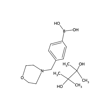 CC(C)(O)C(C)(C)O.OB(O)c1ccc(CN2CCOCC2)cc1